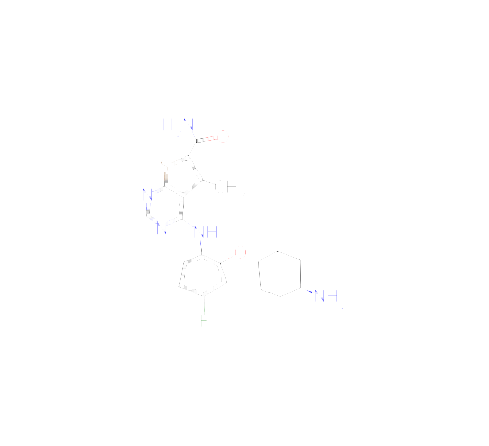 Cc1c(C(N)=O)sc2ncnc(Nc3ccc(F)cc3O[C@H]3CC[C@H](N)CC3)c12